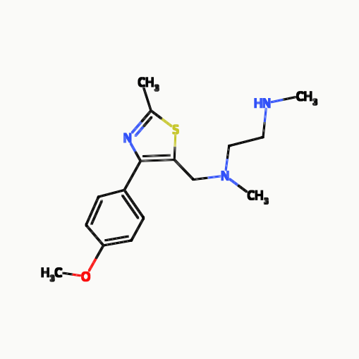 CNCCN(C)Cc1sc(C)nc1-c1ccc(OC)cc1